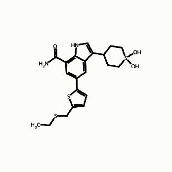 CCSCc1ccc(-c2cc(C(N)=O)c3[nH]cc(C4CCS(O)(O)CC4)c3c2)s1